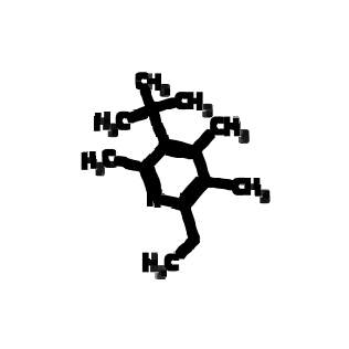 CCc1nc(C)c(C(C)(C)C)c(C)c1C